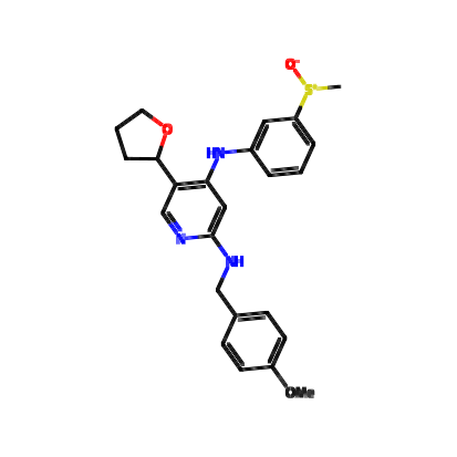 COc1ccc(CNc2cc(Nc3cccc([S+](C)[O-])c3)c(C3CCCO3)cn2)cc1